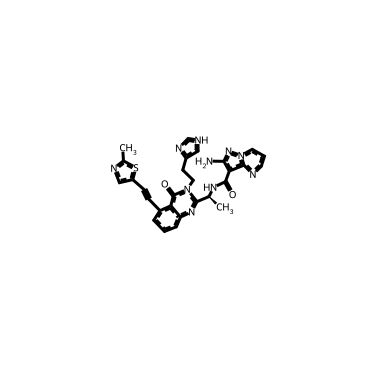 Cc1ncc(C#Cc2cccc3nc([C@H](C)NC(=O)c4c(N)nn5cccnc45)n(CCc4c[nH]cn4)c(=O)c23)s1